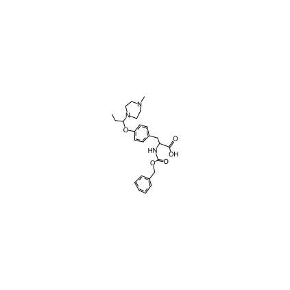 CCC(Oc1ccc(CC(NC(=O)OCc2ccccc2)C(=O)O)cc1)N1CCN(C)CC1